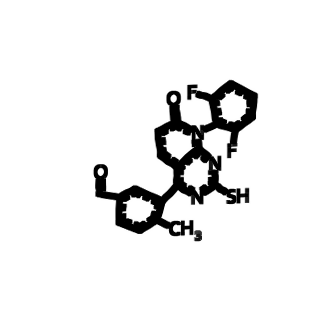 Cc1ccc(C=O)cc1-c1nc(S)nc2c1ccc(=O)n2-c1c(F)cccc1F